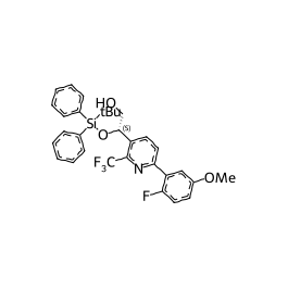 COc1ccc(F)c(-c2ccc([C@@H](CO)O[Si](c3ccccc3)(c3ccccc3)C(C)(C)C)c(C(F)(F)F)n2)c1